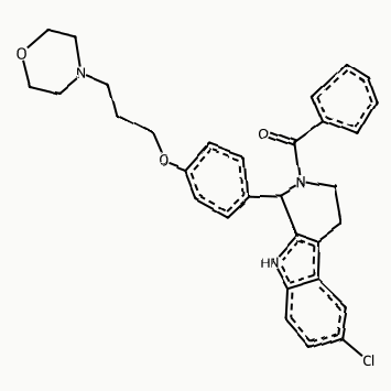 O=C(c1ccccc1)N1CCc2c([nH]c3ccc(Cl)cc23)C1c1ccc(OCCCN2CCOCC2)cc1